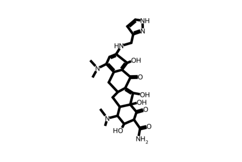 CN(C)c1cc(NCc2cc[nH]n2)c(O)c2c1CC1CC3C(N(C)C)C(O)C(C(N)=O)C(=O)C3(O)C(O)=C1C2=O